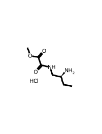 CC[C@H](N)CNC(=O)C(=O)OC.Cl